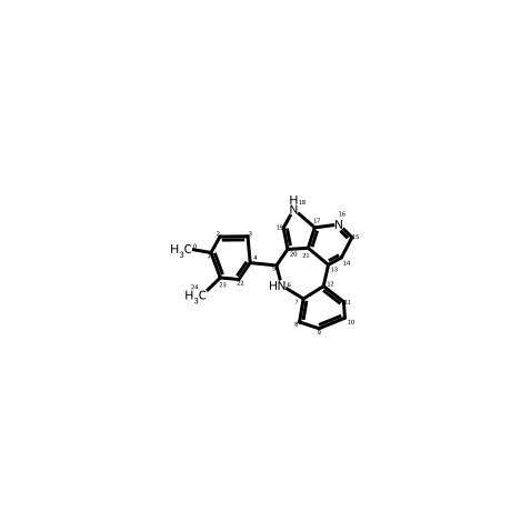 Cc1ccc(C2Nc3ccccc3-c3ccnc4[nH]cc2c34)cc1C